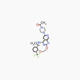 CC(=O)N1CCN(c2cc3c4nc(nc3cn2)OCCOc2c(cccc2C(F)(F)F)[C@@H](C)N4)CC1